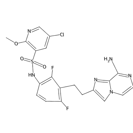 COc1ncc(Cl)cc1S(=O)(=O)Nc1ccc(F)c(CCc2cn3ccnc(N)c3n2)c1F